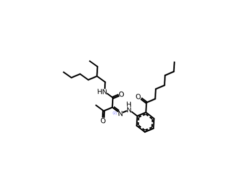 CCCCCCC(=O)c1ccccc1N/N=C(/C(C)=O)C(=O)NCC(CC)CCCC